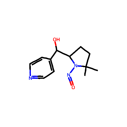 CC1(C)CCC(C(O)c2ccncc2)N1N=O